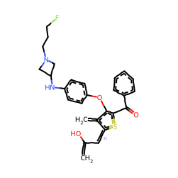 C=C(O)/C=c1/sc(C(=O)c2ccccc2)c(Oc2ccc(NC3CN(CCCF)C3)cc2)c1=C